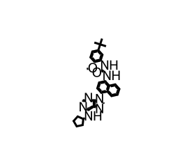 COc1ccc(C(C)(C)C)cc1NC(=O)Nc1ccc(-n2cnc3c(NC4CCCC4)ncnc32)c2ccccc12